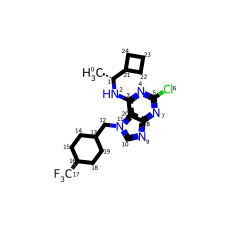 C[C@@H](Nc1nc(Cl)nc2ncn(CC3CCC(C(F)(F)F)CC3)c12)C1CCC1